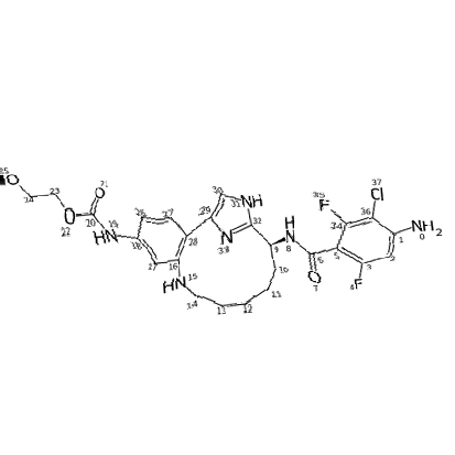 Nc1cc(F)c(C(=O)N[C@H]2CCCCCNc3cc(NC(=O)OCCO)ccc3-c3c[nH]c2n3)c(F)c1Cl